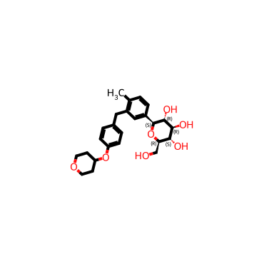 Cc1ccc([C@@H]2O[C@H](CO)[C@@H](O)[C@H](O)[C@H]2O)cc1Cc1ccc(OC2CCOCC2)cc1